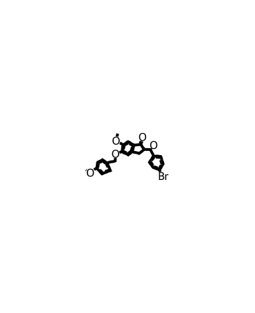 COc1ccc(COc2cc3c(cc2OC)C(=O)C(C(=O)c2ccc(Br)cc2)C3)cc1